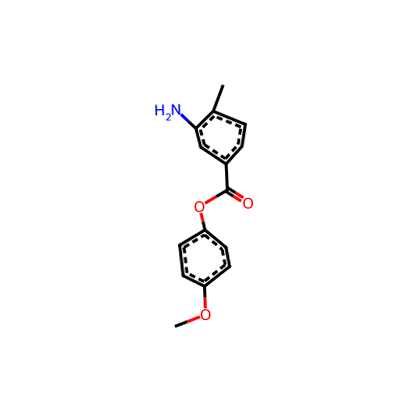 COc1ccc(OC(=O)c2ccc(C)c(N)c2)cc1